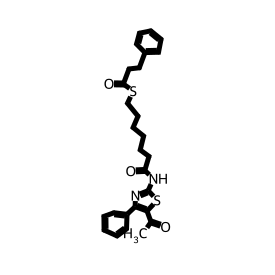 CC(=O)c1sc(NC(=O)CCCCCCSC(=O)CCc2ccccc2)nc1-c1ccccc1